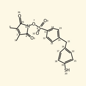 CC1=C(C)C(=O)N(OS(=O)(=O)c2ccc(Cc3ccc(S)cc3)cc2)C1=O